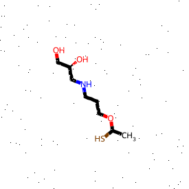 CC(S)OCCCNC[C@H](O)CO